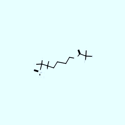 O=C(OCCCCC(F)(F)C(F)(F)S(=O)(=O)O)C(F)(F)F